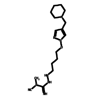 CN(C#N)C(=N)NNCCCCOn1cc(CN2CCCCC2)cn1